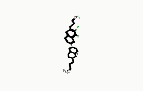 C=CCCc1cc2ccc([C@@H]3CC[C@@H]4CC(CCCC)CCC4C3)cc2c(F)c1F